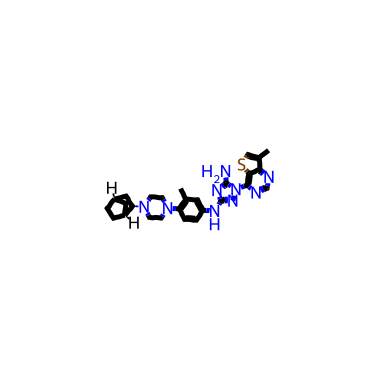 Cc1cc(Nc2nc(N)n(-c3ncnc4c(C)csc34)n2)ccc1N1CCN([C@H]2C[C@@H]3CC[C@H]2C3)CC1